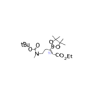 CCOC(=O)/C=C(/CCN(C)C(=O)OC(C)(C)C)B1OC(C)(C)C(C)(C)O1